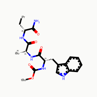 CC[C@@H](C)[C@H](NC(=O)[C@H](Cc1c[nH]c2ccccc12)NC(=O)OC(C)(C)C)C(=O)N[C@H](CC(C)C)C(N)=O